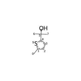 Cc1ccc(C(C)(C)O)s1